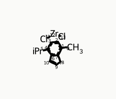 Cc1ccc(C(C)C)c2c1[CH]C=C2.[Cl][Zr][Cl]